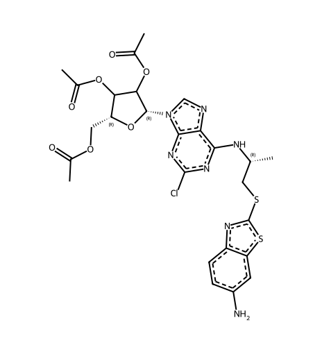 CC(=O)OC[C@H]1O[C@@H](n2cnc3c(N[C@H](C)CSc4nc5ccc(N)cc5s4)nc(Cl)nc32)C(OC(C)=O)C1OC(C)=O